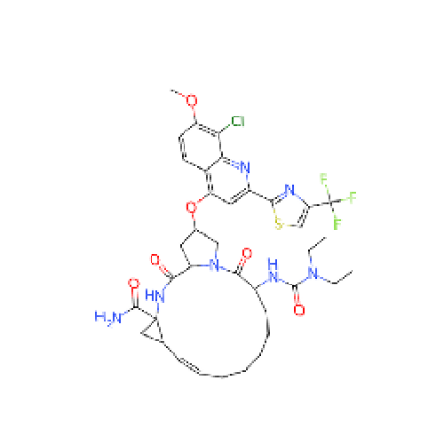 CCN(CC)C(=O)NC1CCCCCC=CC2CC2(C(N)=O)NC(=O)C2CC(Oc3cc(-c4nc(C(F)(F)F)cs4)nc4c(Cl)c(OC)ccc34)CN2C1=O